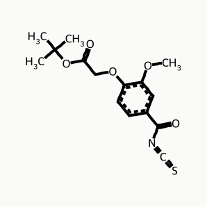 COc1cc(C(=O)N=C=S)ccc1OCC(=O)OC(C)(C)C